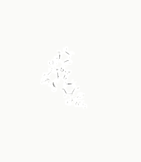 NS(=O)(=O)c1ccc(-c2nn(-c3ccccc3Cl)c3cc[nH]c(=O)c23)cc1